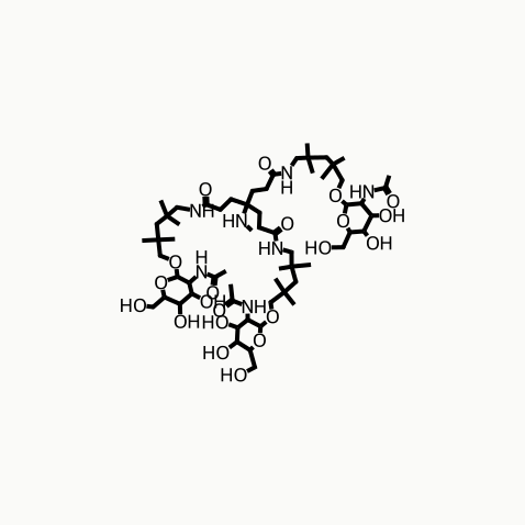 CNC(CCC(=O)NCC(C)(C)CC(C)(C)COC1OC(CO)C(O)C(O)C1NC(C)=O)(CCC(=O)NCC(C)(C)CC(C)(C)COC1OC(CO)C(O)C(O)C1NC(C)=O)CCC(=O)NCC(C)(C)CC(C)(C)COC1OC(CO)C(O)C(O)C1NC(C)=O